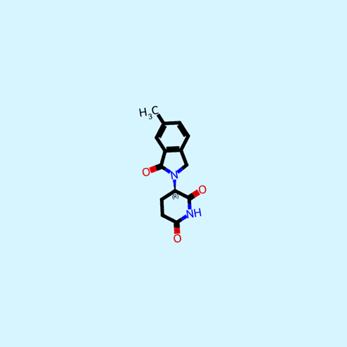 Cc1ccc2c(c1)C(=O)N([C@@H]1CCC(=O)NC1=O)C2